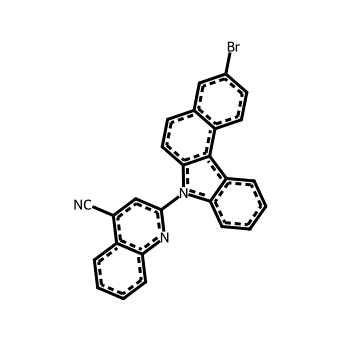 N#Cc1cc(-n2c3ccccc3c3c4ccc(Br)cc4ccc32)nc2ccccc12